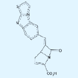 O=C(O)C1=CCC2/C(=C\c3ccc4nc5sccn5c4c3)C(=O)N12